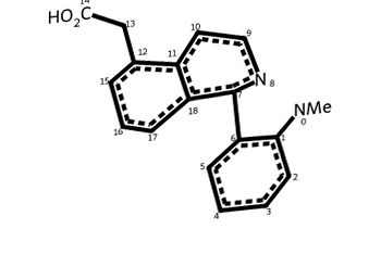 CNc1ccccc1-c1nccc2c(CC(=O)O)cccc12